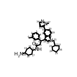 Cc1cccc(C(CC(=O)NC2CCC(N)CC2)c2cn(CC3CCCCC3)c3ccc(-c4ccnn4C)cc23)c1